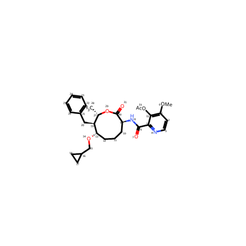 COc1ccnc(C(=O)N[C@H]2CCC[C@H](OCC3CC3)[C@@H](Cc3ccccc3)[C@H](C)OC2=O)c1OC(C)=O